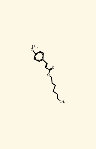 CCCCCCCOC(=O)C=Cc1ccc(OC)cc1